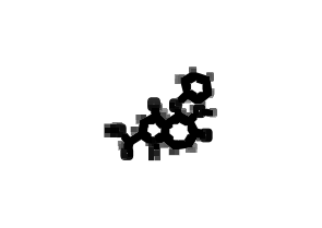 COc1c(Oc2ccccc2)c2c(=O)cc(C(=O)O)[nH]c2ccc1=O